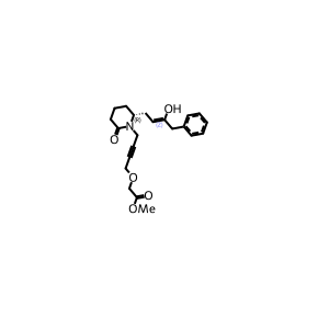 COC(=O)COCC#CCN1C(=O)CCC[C@@H]1C/C=C(\O)Cc1ccccc1